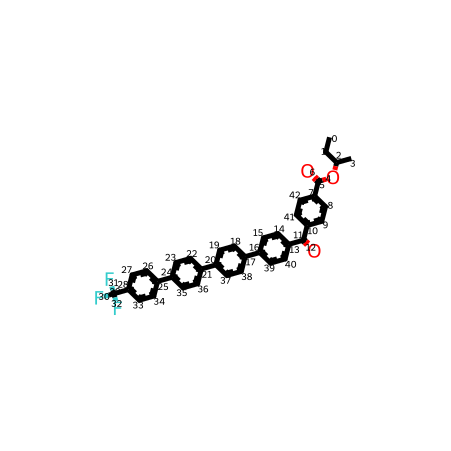 CCC(C)OC(=O)c1ccc(C(=O)c2ccc(-c3ccc(-c4ccc(-c5ccc(C(F)(F)F)cc5)cc4)cc3)cc2)cc1